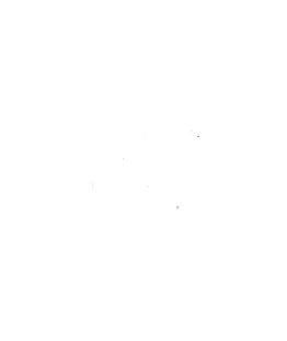 CC(O)(F)C(C)(O)C#N